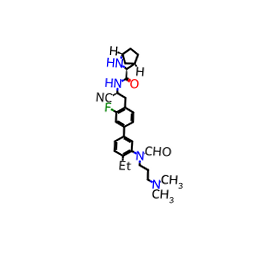 CCc1ccc(-c2ccc(C[C@@H](C#N)NC(=O)[C@H]3N[C@@H]4CC[C@H]3C4)c(F)c2)cc1N(C=O)CCCN(C)C